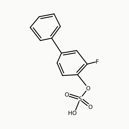 O=S(=O)(O)Oc1ccc(-c2ccccc2)cc1F